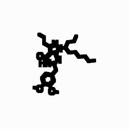 CCCCCCC(CCC)n1nc(CCC)c2c(=O)[nH]c(Cc3ccc(OC)c(OC)c3)nc21